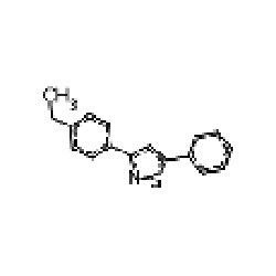 CCc1ccc(-c2cc(-c3ccccc3)sn2)cc1